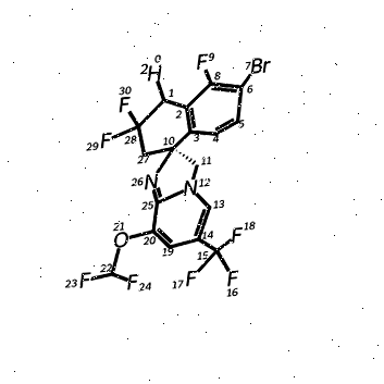 [2H]C1c2c(ccc(Br)c2F)[C@]2(CN3C=C(C(F)(F)F)C=C(OC(F)F)C3=N2)CC1(F)F